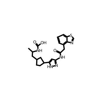 CC(CC1CCC(c2cc(NC(=O)Cc3cccc4scnc34)n[nH]2)C1)NC(=O)O